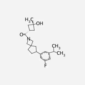 CC(C)c1cc(F)cc(C2CCC3(C2)CN(C(=O)[C@H]2C[C@@](C)(O)C2)C3)c1